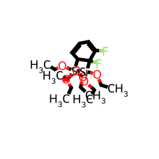 CCO[Si](OCC)(OCC)C1C=CC=C(F)C1(F)[Si](OCC)(OCC)OCC